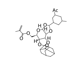 C=C(C)C(=O)OC[C@H]1O[C@H]2OC(C3CC(C)CC(C(C)=O)C3)O[C@H]2[C@H]2OC3(O[C@@H]21)C1CC2CC(C1)C(=O)C3C2